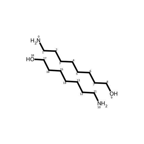 NCCCCCCCCO.NCCCCCCCO